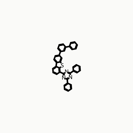 c1ccc(-c2cccc(-c3ccc4c(c3)sc3c(-c5nc(-c6ccccc6)nc(-c6ccccc6)n5)cccc34)c2)cc1